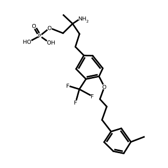 Cc1cccc(CCCOc2ccc(CCC(C)(N)COP(=O)(O)O)cc2C(F)(F)F)c1